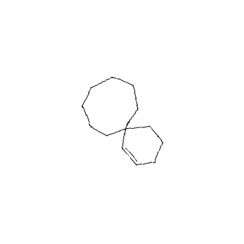 C1=CC2(CCC1)CCCCCCC2